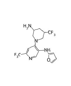 NC1CC(C(F)(F)F)CN(c2cc(C(F)(F)F)ncc2Nc2ccco2)C1